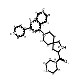 O=C(C1CC2(CCN(c3nc(-c4ccncc4)nc4cnccc34)CC2)CN1)N1CCOCC1